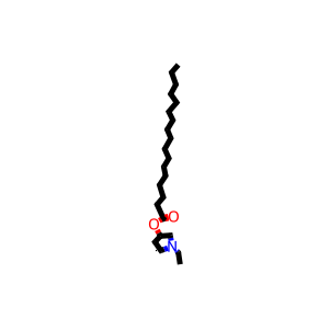 CCCCCCCCCCCCCCCCC(=O)OC1C[CH]N(CC)C1